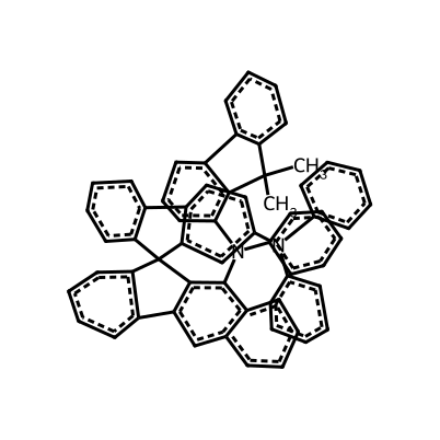 CC1(C)c2ccccc2-c2cccc(N(c3ccccc3)c3c4c(cc5ccccc35)-c3ccccc3C43c4ccccc4-c4ccc(N(c5ccccc5)c5ccccc5)cc43)c21